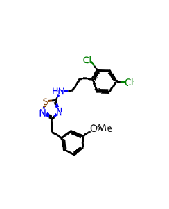 COc1cccc(Cc2nsc(NCCc3ccc(Cl)cc3Cl)n2)c1